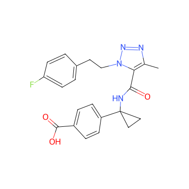 Cc1nnn(CCc2ccc(F)cc2)c1C(=O)NC1(c2ccc(C(=O)O)cc2)CC1